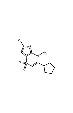 NN1C(C2CCCC2)=NS(=O)(=O)c2cc(Cl)sc21